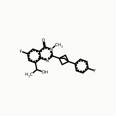 CC(O)c1cc(F)cc2c(=O)n(C)c(C34CC(c5ccc(F)cc5)(C3)C4)nc12